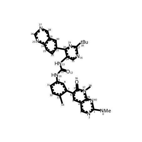 CNc1ncc2cc(-c3cc(NC(=O)Nc4cnc(C(C)(C)C)nc4-c4ccc5ncncc5c4)ccc3C)c(=O)n(C)c2n1